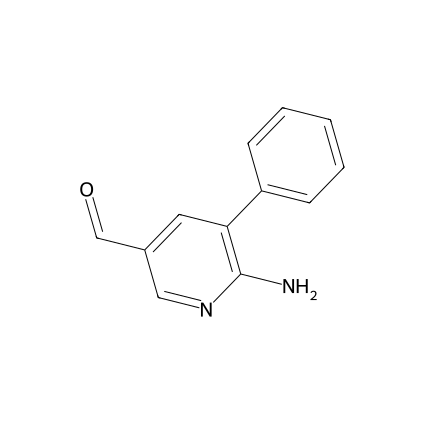 Nc1ncc(C=O)cc1-c1ccccc1